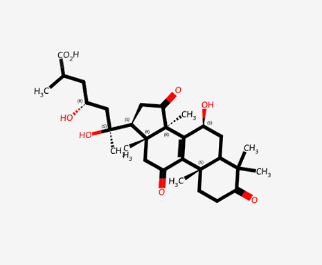 CC(C[C@@H](O)C[C@](C)(O)[C@H]1CC(=O)[C@@]2(C)C3=C(C(=O)C[C@]12C)[C@@]1(C)CCC(=O)C(C)(C)C1C[C@@H]3O)C(=O)O